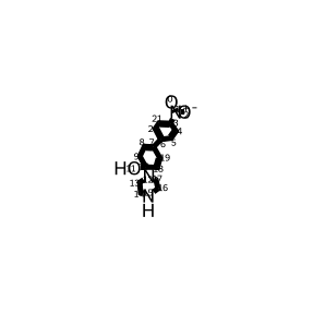 O=[N+]([O-])c1ccc(C2=CCC(O)(N3CCNCC3)C=C2)cc1